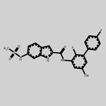 CS(=O)(=O)Nc1ccc2cc(C(=O)Nc3cc(C#N)cc(-c4ccc(F)cc4)c3F)[nH]c2c1